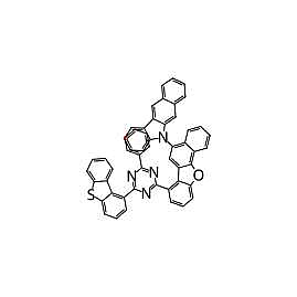 c1ccc(-c2nc(-c3cccc4oc5c6ccccc6c(-n6c7ccccc7c7cc8ccccc8cc76)cc5c34)nc(-c3cccc4sc5ccccc5c34)n2)cc1